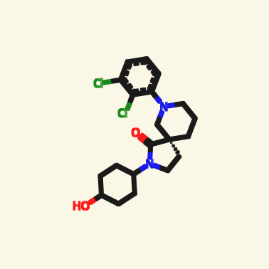 O=C1N(C2CCC(O)CC2)CC[C@]12CCCN(c1cccc(Cl)c1Cl)C2